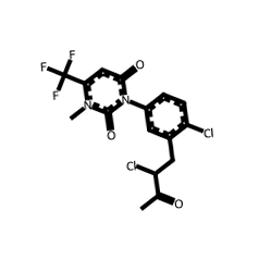 CC(=O)C(Cl)Cc1cc(-n2c(=O)cc(C(F)(F)F)n(C)c2=O)ccc1Cl